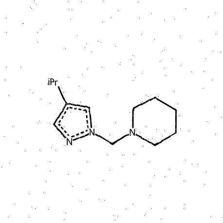 CC(C)c1cnn(CN2CCCCC2)c1